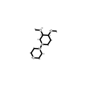 COC1CCN(N2CCOCC2)CC1OC